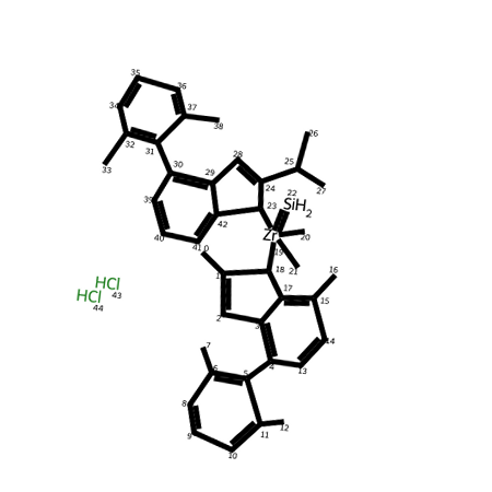 CC1=Cc2c(-c3c(C)cccc3C)ccc(C)c2[CH]1[Zr]([CH3])([CH3])(=[SiH2])[CH]1C(C(C)C)=Cc2c(-c3c(C)cccc3C)cccc21.Cl.Cl